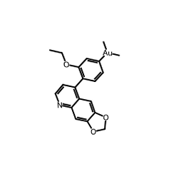 CCOc1c[c]([Au]([CH3])[CH3])ccc1-c1ccnc2cc3c(cc12)OCO3